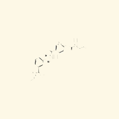 CCNC(=O)c1cccc(S(=O)(=O)NC(=O)c2ccc(OC(=O)NCCO)nc2)c1